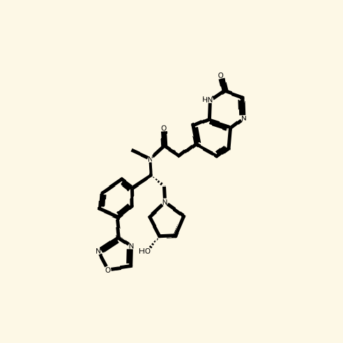 CN(C(=O)Cc1ccc2ncc(=O)[nH]c2c1)[C@H](CN1CC[C@H](O)C1)c1cccc(-c2ncon2)c1